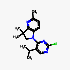 Cc1ccc2c(n1)C(C)(C)CN2c1nc(Cl)ncc1C(C)C